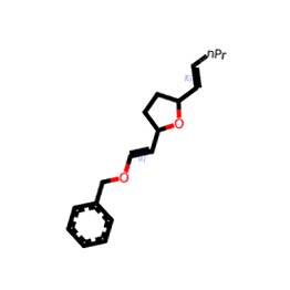 CCC/C=C/C1CCC(/C=C/OCc2ccccc2)O1